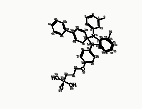 Cc1cccc(N(c2ccccc2)C2(N(c3ccc(OCCCP(=O)(O)O)cc3)c3cccc(C)c3)C=CC(c3ccccc3)=CC2)c1